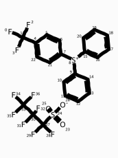 FC(F)(F)c1ccc([S+](c2ccccc2)c2ccccc2)cc1.O=S(=O)([O-])C(F)(F)C(F)(F)C(F)(F)F